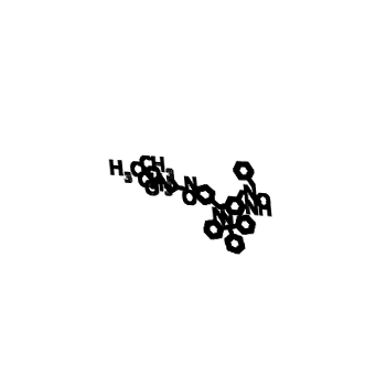 CC(C)(C)OC(=O)N1CC(c2nc3ccc(-c4nn(C(c5ccccc5)(c5ccccc5)c5ccccc5)c5cc6c(cc45)CN(Cc4ccccc4)C(=O)N6)cc3o2)C1